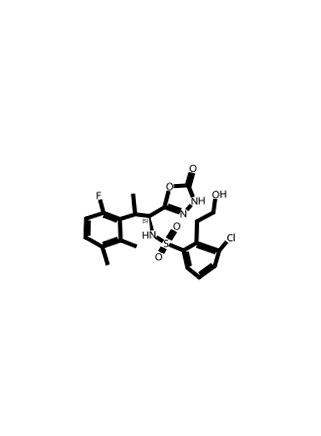 Cc1ccc(F)c(C(C)[C@H](NS(=O)(=O)c2cccc(Cl)c2CCO)c2n[nH]c(=O)o2)c1C